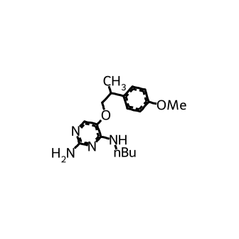 CCCCNc1nc(N)ncc1OCC(C)c1ccc(OC)cc1